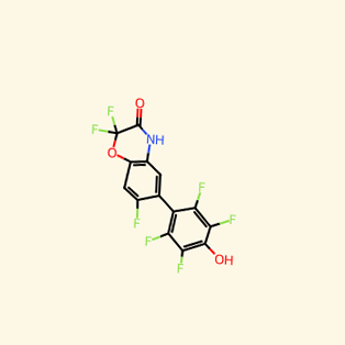 O=C1Nc2cc(-c3c(F)c(F)c(O)c(F)c3F)c(F)cc2OC1(F)F